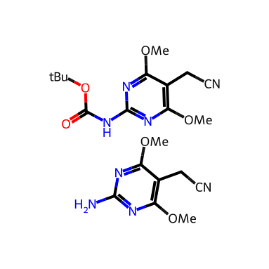 COc1nc(N)nc(OC)c1CC#N.COc1nc(NC(=O)OC(C)(C)C)nc(OC)c1CC#N